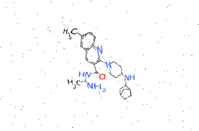 Cc1ccc2nc(N3CCC(NC4CC5CCC4C5)CC3)c(C(=O)NC(C)N)cc2c1